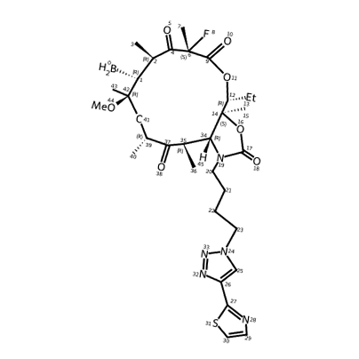 B[C@@H]1[C@@H](C)C(=O)[C@](C)(F)C(=O)O[C@H](CC)[C@@]2(C)OC(=O)N(CCCCn3cc(-c4nccs4)nn3)[C@@H]2[C@@H](C)C(=O)[C@H](C)C[C@@]1(C)OC